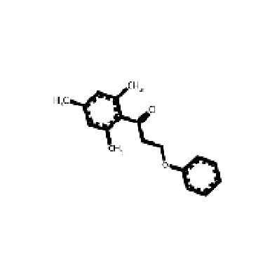 Cc1cc(C)c(C(=O)CCOc2cc[c]cc2)c(C)c1